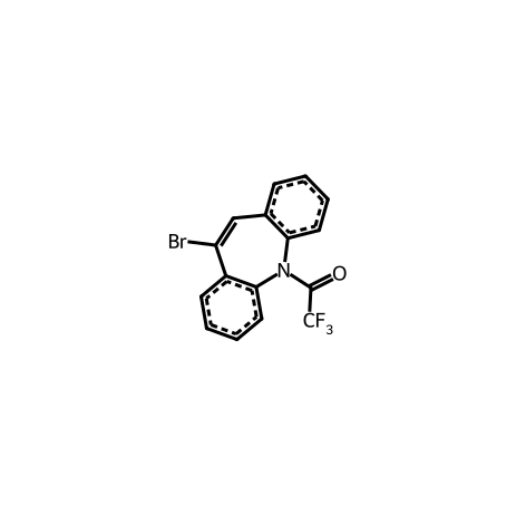 O=C(N1c2ccccc2C=C(Br)c2ccccc21)C(F)(F)F